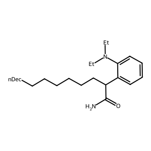 CCCCCCCCCCCCCCCCC(C(N)=O)c1ccccc1N(CC)CC